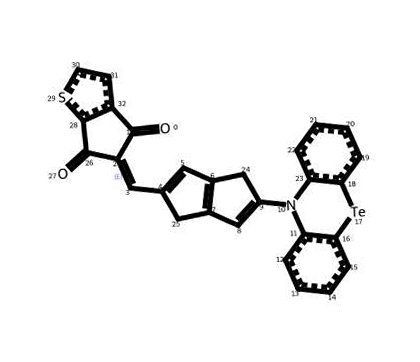 O=C1/C(=C\C2=CC3=C(C=C(N4c5ccccc5[Te]c5ccccc54)C3)C2)C(=O)c2sccc21